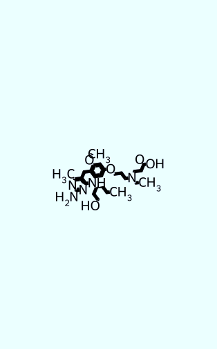 CCC[C@@H](CCO)Nc1nc(N)nc(C)c1Cc1ccc(OCCCN(CC)CCC(=O)O)cc1OC